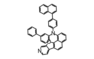 c1ccc(-c2cccc(N(c3ccc(-c4cccc5ccccc45)cc3)c3cccc4ccc5c6ccncc6oc5c34)c2)cc1